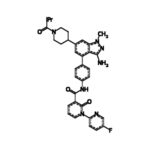 CC(C)C(=O)N1CCC(c2cc(-c3ccc(NC(=O)c4cccn(-c5ccc(F)cn5)c4=O)cc3)c3c(N)nn(C)c3c2)CC1